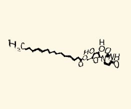 CCCCCCCCCCCCCCCC(=O)OC[C@@H]1O[C@H](n2ccc(=O)[nH]c2=O)C(O)C1O